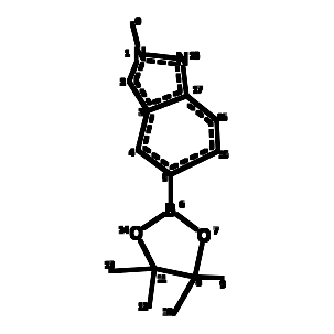 Cn1cc2cc(B3OC(C)(C)C(C)(C)O3)ccc2n1